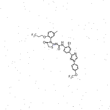 CCc1cc(-c2ncn(-c3ccc(OC(F)(F)F)cc3)n2)ccc1NC(=O)/N=C1\SCC(=O)N1c1cc(C)ccc1OCCC(F)(F)F